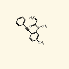 C=CC(=O)N(C)c1cc(C)ccc1C#Cc1ccccc1